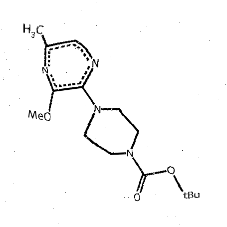 COc1nc(C)cnc1N1CCN(C(=O)OC(C)(C)C)CC1